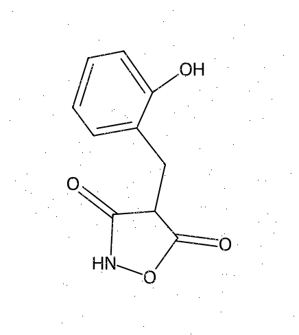 O=C1NOC(=O)C1Cc1ccccc1O